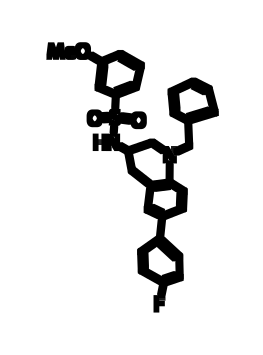 COc1cccc(S(=O)(=O)NC2Cc3cc(-c4ccc(F)cc4)ccc3N(Cc3ccccc3)C2)c1